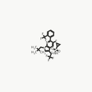 CC(C)(C)Cn1cc([C@H](NS(=O)(=O)C2CC2)C(F)(F)F)c2cc(F)c(-c3ccccc3C(F)(F)F)nc21